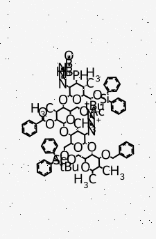 CC(=O)OCC1O[C@@H](O[C@@H]2C(CO[Si](c3ccccc3)(c3ccccc3)C(C)(C)C)O[C@@H](O[C@H]3C(COC(C)=O)OC(C)C(C)[C@@H]3OCc3ccccc3)C(N=[N+]=[N-])[C@H]2C)C(OC(=O)c2ccccc2)[C@@H](C)[C@@H]1O[C@@H]1OC(CO[Si](c2ccccc2)(c2ccccc2)C(C)(C)C)[C@@H](C)[C@H](PBB=O)C1N=[N+]=[N-]